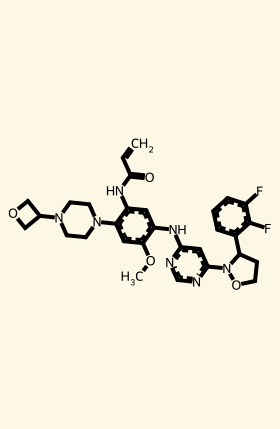 C=CC(=O)Nc1cc(Nc2cc(N3OCCC3c3cccc(F)c3F)ncn2)c(OC)cc1N1CCN(C2COC2)CC1